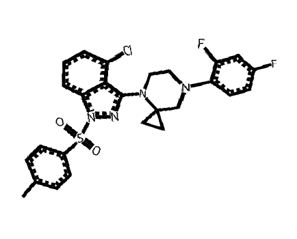 Cc1ccc(S(=O)(=O)n2nc(N3CCN(c4ccc(F)cc4F)CC34CC4)c3c(Cl)cccc32)cc1